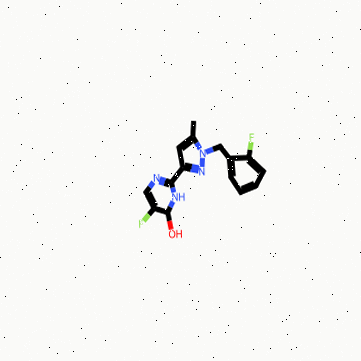 Cc1cc(C2=NC=C(F)C(O)N2)nn1Cc1ccccc1F